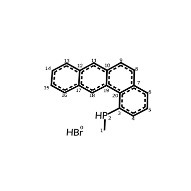 Br.CPc1cccc2ccc3cc4ccccc4cc3c12